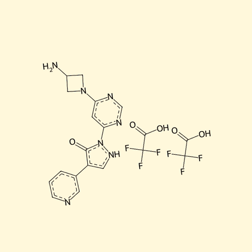 NC1CN(c2cc(-n3[nH]cc(-c4cccnc4)c3=O)ncn2)C1.O=C(O)C(F)(F)F.O=C(O)C(F)(F)F